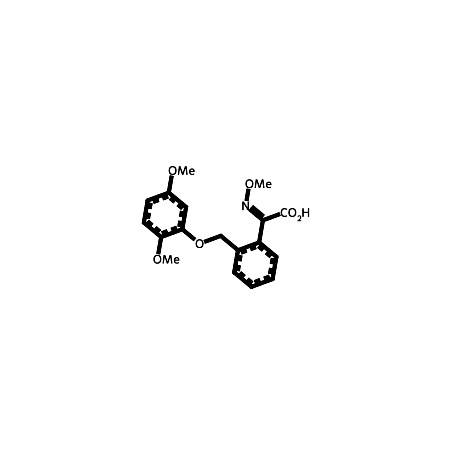 CON=C(C(=O)O)c1ccccc1COc1cc(OC)ccc1OC